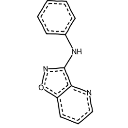 c1ccc(Nc2noc3cccnc23)cc1